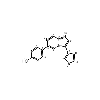 Oc1ccc(-c2cn3c(-c4ccsc4)cnc3cn2)cc1